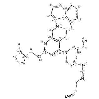 COCCN=C=N[C@@H]1CCN(c2nc(OC[C@@H]3CCCN3C)nc3c2CCN(c2cccc4cccc(C)c24)C3)C[C@@H]1CC#N